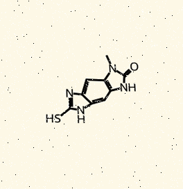 Cn1c(=O)[nH]c2cc3[nH]c(S)nc3cc21